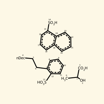 CC(O)C(=O)O.CCCCCCCCCCCCc1ccccc1S(=O)(=O)O.O=S(=O)(O)c1cccc2ccccc12